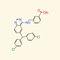 O=C(O)c1cccc(CNc2ncnc3ccc(C(c4ccc(Cl)cc4)c4ccc(Cl)cc4)cc23)c1